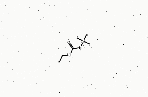 CCOC(=O)[N][Si](C)(C)C